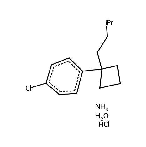 CC(C)CCC1(c2ccc(Cl)cc2)CCC1.Cl.N.O